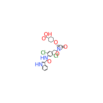 CO[C@H]1C[C@@H](CO[C@H]2CC[C@H](C(=O)O)CC2)N(C(=O)Cc2cc(Cl)c(NC(=O)c3c[nH]c4ccccc34)cc2Cl)C1